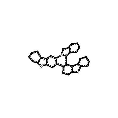 c1ccc2c(c1)cn1c3cc4c(cc3c3ccc5sc6ccccc6c5c3c21)oc1ccccc14